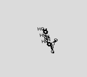 COCCOc1ccc(Nc2ncnc(Nc3ccc(C)c(O)c3)n2)cc1OCCOC